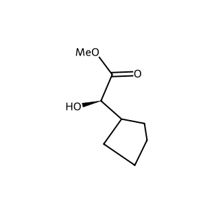 COC(=O)[C@H](O)C1CCCC1